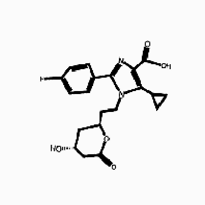 O=C1C[C@H](O)C[C@@H](CCn2c(-c3ccc(F)cc3)nc(C(=O)O)c2C2CC2)O1